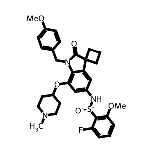 COc1ccc(CN2C(=O)C3(CCC3)c3cc(N[S@@+]([O-])c4c(F)cccc4OC)cc(OC4CCN(C)CC4)c32)cc1